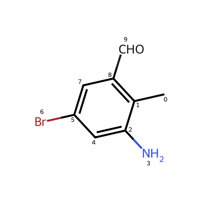 Cc1c(N)cc(Br)cc1C=O